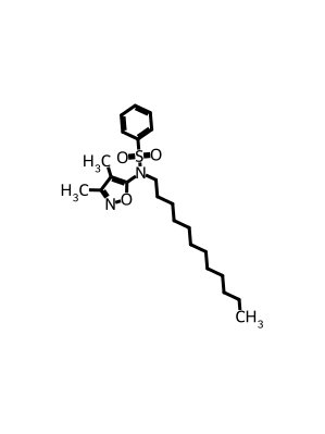 CCCCCCCCCCCCN(c1onc(C)c1C)S(=O)(=O)c1ccccc1